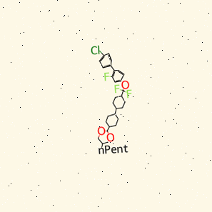 CCCCCC1COC(C2CCC(C3CCC(C(F)(F)Oc4ccc(-c5ccc(Cl)cc5)c(F)c4)CC3)CC2)OC1